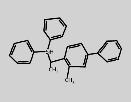 Cc1cc(-c2ccccc2)ccc1C(C)[SiH](c1ccccc1)c1ccccc1